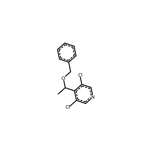 CC(OCc1ccccc1)c1c(Cl)cncc1Cl